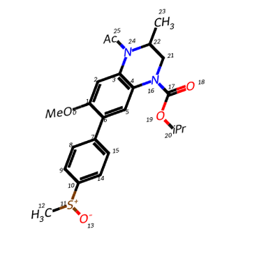 COc1cc2c(cc1-c1ccc([S+](C)[O-])cc1)N(C(=O)OC(C)C)CC(C)N2C(C)=O